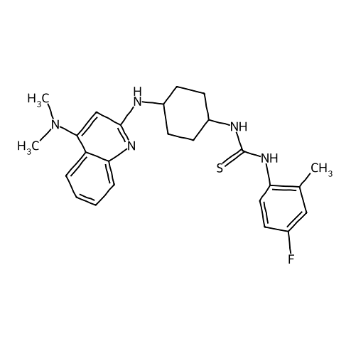 Cc1cc(F)ccc1NC(=S)NC1CCC(Nc2cc(N(C)C)c3ccccc3n2)CC1